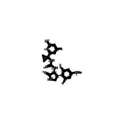 COc1cc(F)c([C@@H]2CNC(=O)[C@H]2NC(=O)NC2(c3cc(C)cc(Cl)n3)CC2)c(F)c1